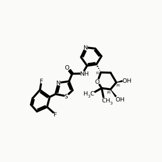 CC1(C)O[C@H](c2ccncc2NC(=O)c2csc(-c3c(F)cccc3F)n2)C[C@@H](O)[C@H]1O